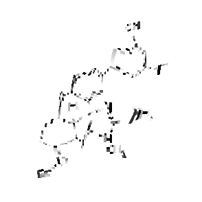 CCO[C@@H]1CCC2Oc3ccc(-c4cc(F)cc(C#N)c4)cc3C3(N=C(N)N(C)C3=O)[C@H]2C1